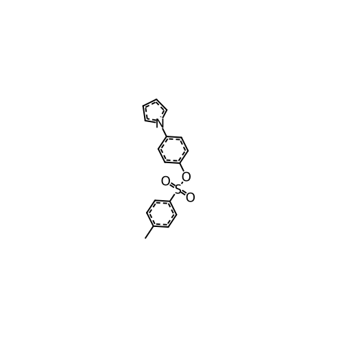 Cc1ccc(S(=O)(=O)Oc2ccc(-n3cccc3)cc2)cc1